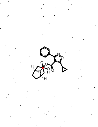 O=C(OC1C[C@H]2CC[C@@H](C1)N2C(=O)O)c1c(-c2ccccc2)noc1C1CC1